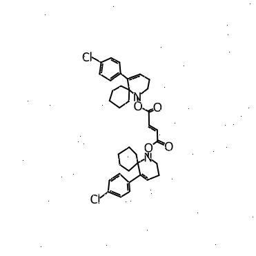 O=C(/C=C/C(=O)ON1CCC=C(c2ccc(Cl)cc2)C12CCCCC2)ON1CCC=C(c2ccc(Cl)cc2)C12CCCCC2